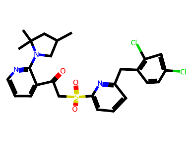 CC1CN(c2ncccc2C(=O)CS(=O)(=O)c2cccc(Cc3ccc(Cl)cc3Cl)n2)C(C)(C)C1